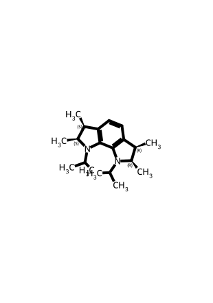 CC(C)N1c2c(ccc3c2N(C(C)C)[C@@H](C)[C@H]3C)[C@@H](C)[C@H]1C